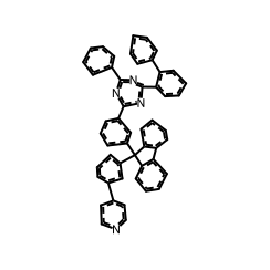 c1ccc(-c2nc(-c3cccc(C4(c5cccc(-c6ccncc6)c5)c5ccccc5-c5ccccc54)c3)nc(-c3ccccc3-c3ccccc3)n2)cc1